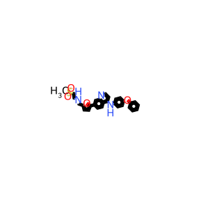 CS(=O)(=O)CCNCc1ccc(-c2ccc3c(Nc4ccc(Oc5ccccc5)cc4)ccnc3c2)o1